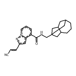 N#CC=Cc1cc2c(C(=O)NCC34CC5CCCC(C3)C(C5)C4)cccn2n1